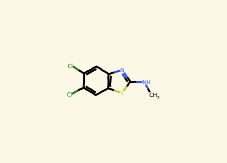 CNc1nc2cc(Cl)c(Cl)cc2s1